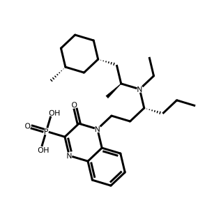 CCC[C@H](CCn1c(=O)c(P(=O)(O)O)nc2ccccc21)N(CC)[C@@H](C)C[C@H]1CCC[C@@H](C)C1